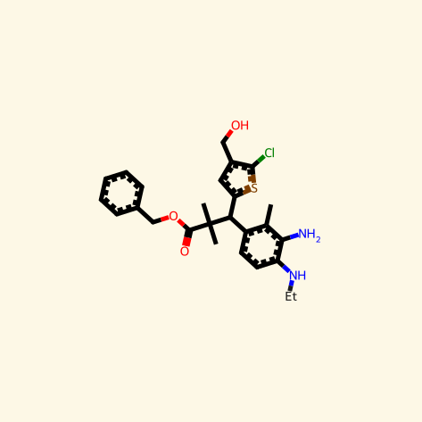 CCNc1ccc(C(c2cc(CO)c(Cl)s2)C(C)(C)C(=O)OCc2ccccc2)c(C)c1N